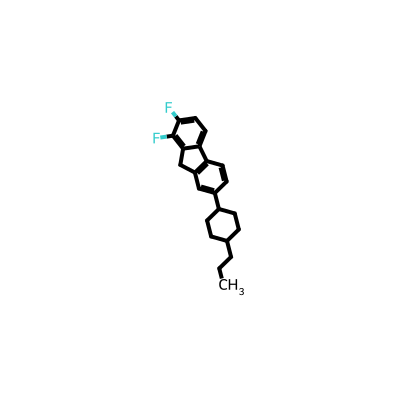 CCCC1CCC(c2ccc3c(c2)Cc2c-3ccc(F)c2F)CC1